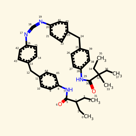 CCC(CC)C(=O)Nc1ccc(Cc2ccc(N=C=Nc3ccc(Cc4ccc(NC(=O)C(C)(CC)CC)cc4)cc3)cc2)cc1